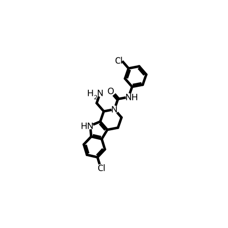 NCC1c2[nH]c3ccc(Cl)cc3c2CCN1C(=O)Nc1cccc(Cl)c1